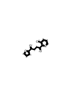 O=C(CCC(=O)c1ncccc1Cl)c1ccco1